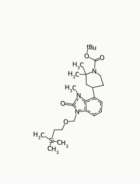 Cn1c(=O)n(COCC[Si](C)(C)C)c2cccc(C3CCN(C(=O)OC(C)(C)C)C(C)(C)C3)c21